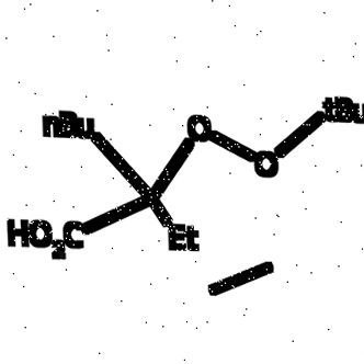 CC.CCCCC(CC)(OOC(C)(C)C)C(=O)O